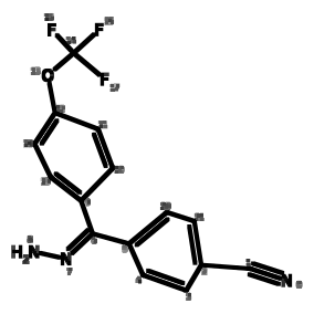 N#Cc1ccc(C(=NN)c2ccc(OC(F)(F)F)cc2)cc1